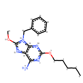 CCCCCOc1nc(N)c2nc(OC)n(Cc3ccccc3)c2n1